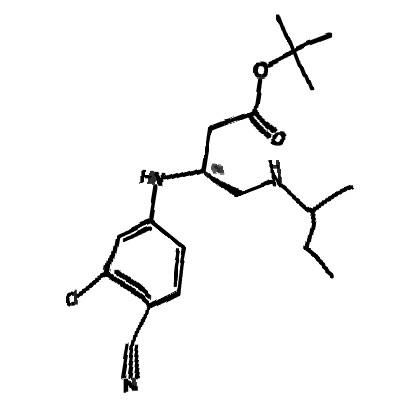 CCC(C)NC[C@H](CC(=O)OC(C)(C)C)Nc1ccc(C#N)c(Cl)c1